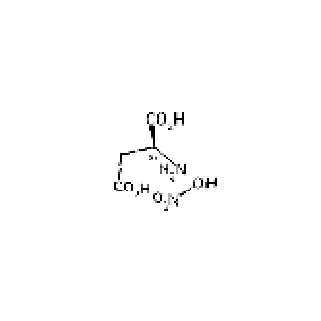 N[C@@H](CC(=O)O)C(=O)O.O=[N+]([O-])O